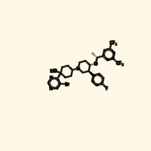 C[C@@H](O[C@H]1CCN(C2CCC(O)(c3ncncc3Br)CC2)C[C@@H]1c1ccc(F)cc1)c1cc(C(F)(F)F)cc(C(F)(F)F)c1